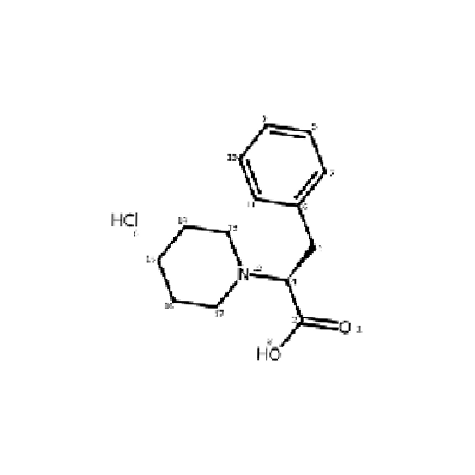 Cl.O=C(O)[C@H](Cc1ccccc1)N1CCCCC1